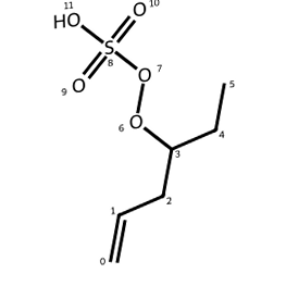 C=CCC(CC)OOS(=O)(=O)O